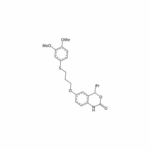 COc1ccc(SCCCOc2ccc3c(c2)C(C(C)C)OC(=O)N3)cc1OC